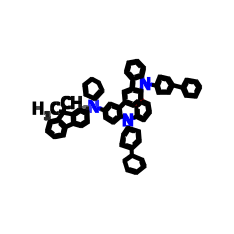 CC1(C)c2ccccc2-c2ccc(N(C3=CCCC=C3)c3ccc(N(c4ccccc4)c4ccc(C5C=CC=CC5)cc4)c(-c4ccc5c(c4)c4ccccc4n5-c4ccc(-c5ccccc5)cc4)c3)cc21